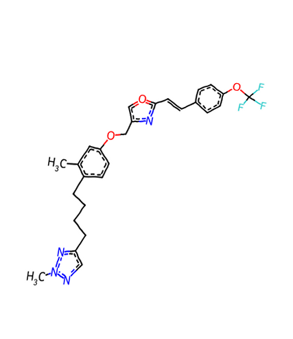 Cc1cc(OCc2coc(C=Cc3ccc(OC(F)(F)F)cc3)n2)ccc1CCCCc1cnn(C)n1